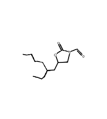 CCCCC(CC)CC1CN(C=O)C(=O)O1